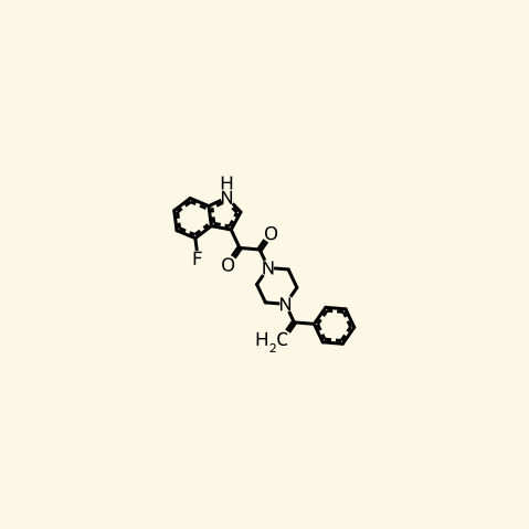 C=C(c1ccccc1)N1CCN(C(=O)C(=O)c2c[nH]c3cccc(F)c23)CC1